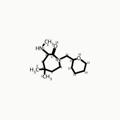 CNC1CC(C)(C)CCN(CC2CCCCO2)C1=O